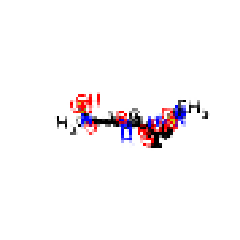 CCC(CCNC(=O)CCCCCCC(=O)N(C)CCS(=O)(=O)O)c1cc(O)c(C(c2cccc(NS(=O)(=O)c3cn(C)cn3)c2)C2CC2)c(=O)o1